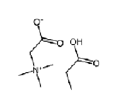 CCC(=O)O.C[N+](C)(C)CC(=O)[O-]